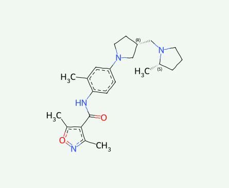 Cc1cc(N2CC[C@H](CN3CCC[C@@H]3C)C2)ccc1NC(=O)c1c(C)noc1C